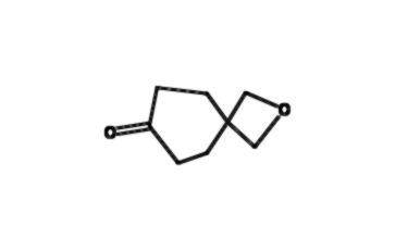 O=C1CCC2(CC1)COC2